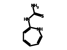 NC(=S)NC1=CC=CC=CN1